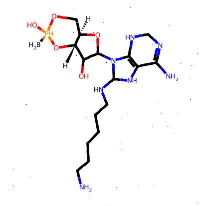 B[PH]1(O)OC[C@H]2OC(N3C4=C(NC3NCCCCCCN)C(N)=NCN4)C(O)[C@@H]2O1